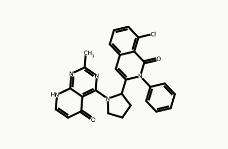 Cc1nc(N2CCCC2c2cc3cccc(Cl)c3c(=O)n2-c2ccccc2)c2c(=O)cc[nH]c2n1